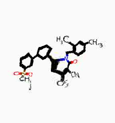 Cc1ccc(Cn2c(-c3cccc(-c4cccc(S(C)(=O)=O)c4)c3)cc(C(F)(F)F)c(C#N)c2=O)c(C)c1